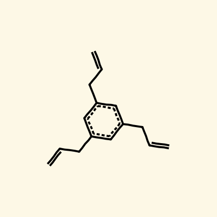 C=CCc1cc(CC=C)cc(CC=C)c1